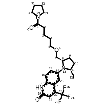 O=C(CCCCOC[C@H]1CC[C@@H](I)N1c1ccc2[nH]c(=O)cc(C(F)(F)F)c2c1)N1CCCC1